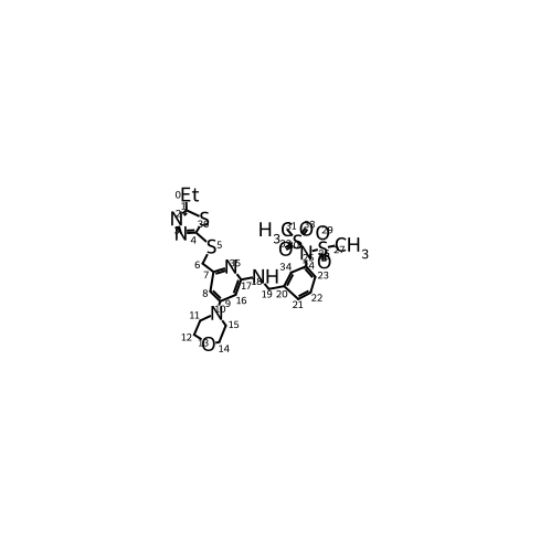 CCc1nnc(SCc2cc(N3CCOCC3)cc(NCc3cccc(N(S(C)(=O)=O)S(C)(=O)=O)c3)n2)s1